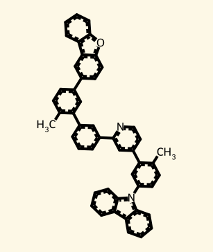 Cc1ccc(-c2ccc3oc4ccccc4c3c2)cc1-c1cccc(-c2cc(-c3cc(-n4c5ccccc5c5ccccc54)ccc3C)ccn2)c1